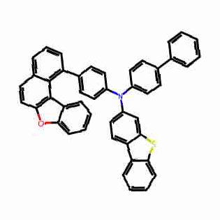 c1ccc(-c2ccc(N(c3ccc(-c4cccc5ccc6oc7ccccc7c6c45)cc3)c3ccc4c(c3)sc3ccccc34)cc2)cc1